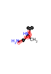 C=CCOC(=O)C(CC(=O)OCc1ccc(OCC(N)=O)cc1)NC(=O)OCC1c2ccccc2-c2ccccc21